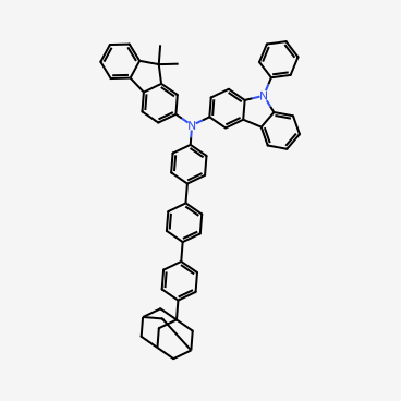 CC1(C)c2ccccc2-c2ccc(N(c3ccc(-c4ccc(-c5ccc(C67CC8CC(CC(C8)C6)C7)cc5)cc4)cc3)c3ccc4c(c3)c3ccccc3n4-c3ccccc3)cc21